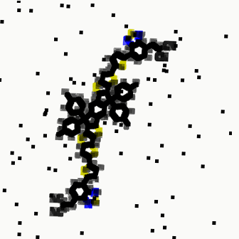 Cc1ccc(C2(c3ccc(C)cc3)c3cc4c(cc3-c3sc5cc(-c6ccc(-c7ccc(C=C(C#N)C#N)c8nsnc78)s6)sc5c32)C(c2ccc(C)cc2)(c2ccc(C)cc2)c2c-4sc3c2sc2cc(-c4ccc(-c5ccc(C=C(C#N)C#N)c6nsnc56)s4)sc23)cc1